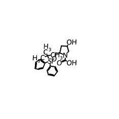 CC(C)(C)[Si](OCC1CC(O)CN1C(=O)O)(c1ccccc1)c1ccccc1